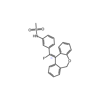 CS(=O)(=O)Nc1cccc(/C(F)=C2/c3ccccc3COc3ccccc32)c1